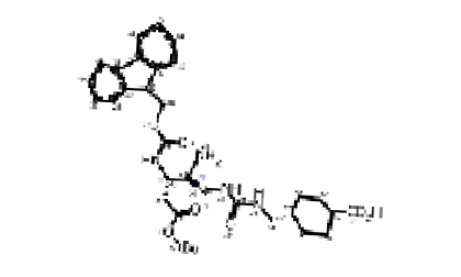 CC(C)(C)OC(=O)C[C@H](NC(=O)OCC1c2ccccc2-c2ccccc21)/C(N)=N/NC(=O)NC[C@H]1CC[C@H](C(=O)O)CC1